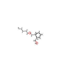 CCCCCOCc1ccccc1C=O